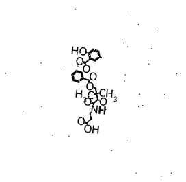 CC(C)(COC(=O)c1ccccc1OC(=O)c1ccccc1O)C(O)C(=O)NCCC(=O)O